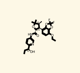 CCOc1ccc([C@H]2[C@H](C(=O)Nc3ccc([C@@H](O)CC)nc3)OC(C)(C)[C@H]2C)c2c1OC(F)(F)O2